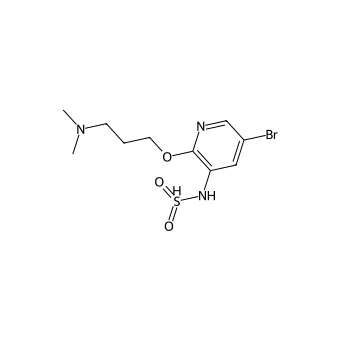 CN(C)CCCOc1ncc(Br)cc1N[SH](=O)=O